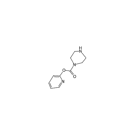 O=C(Oc1ccccn1)N1CCNCC1